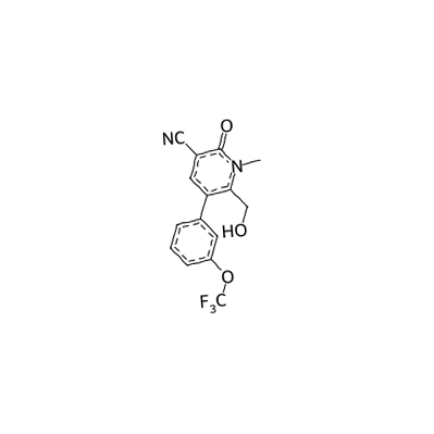 Cn1c(CO)c(-c2cccc(OC(F)(F)F)c2)cc(C#N)c1=O